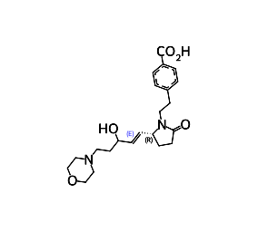 O=C(O)c1ccc(CCN2C(=O)CC[C@@H]2/C=C/C(O)CCN2CCOCC2)cc1